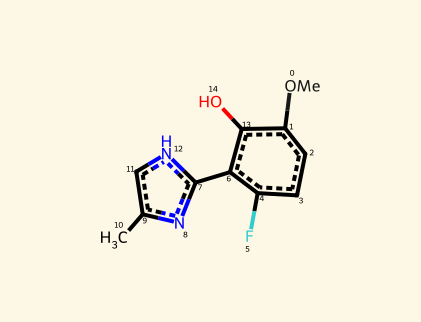 COc1ccc(F)c(-c2nc(C)c[nH]2)c1O